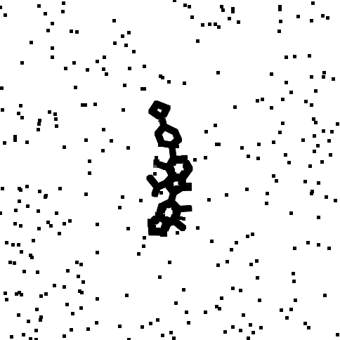 Cc1c(-c2[nH]c3cnc(C4CCC(N5CCC5)CC4)c(F)c3c2C(C)C)cn2ncnc2c1C